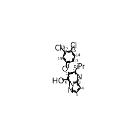 CC(C)c1nc2ccnn2c(O)c1Oc1ccc(Cl)c(Cl)c1